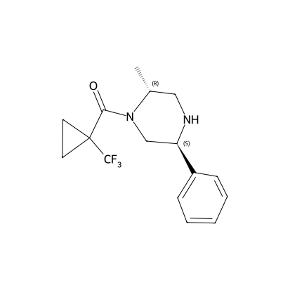 C[C@@H]1CN[C@@H](c2ccccc2)CN1C(=O)C1(C(F)(F)F)CC1